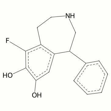 Oc1cc2c(c(F)c1O)CCNCC2c1ccccc1